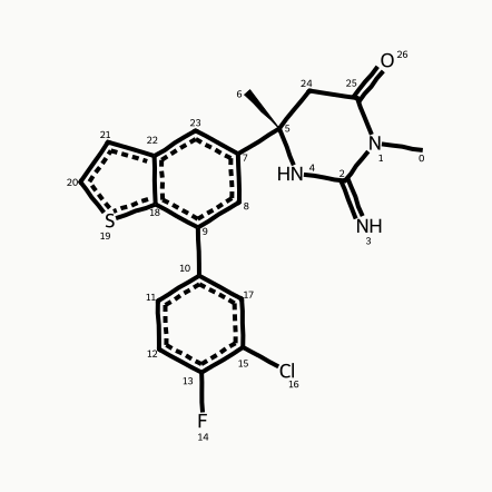 CN1C(=N)N[C@](C)(c2cc(-c3ccc(F)c(Cl)c3)c3sccc3c2)CC1=O